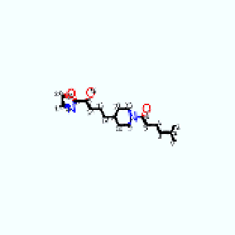 CC(C)=CCCC(=O)N1CCC(CCCC(=O)c2ncco2)CC1